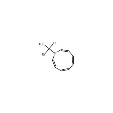 CCC(C)(CC)[s+]1cccccccc1